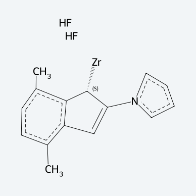 Cc1ccc(C)c2c1C=C(n1cccc1)[C@H]2[Zr].F.F